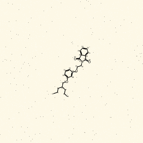 CCCC(CCC)COc1cccc(OCCN2C(=O)c3ccccc3C2=O)c1